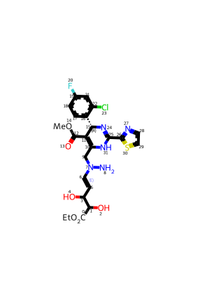 CCOC(=O)C(O)C(O)/C=C/N(N)CC1=C(C(=O)OC)[C@H](c2ccc(F)cc2Cl)N=C(c2nccs2)N1